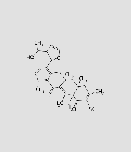 CC(=O)C1=C(C)CC2(C)CC3(C)Cc4c(C5OC=CC5C(C)O)ccc(C)c4C(=O)C3=C(C)C2(C)C1=O